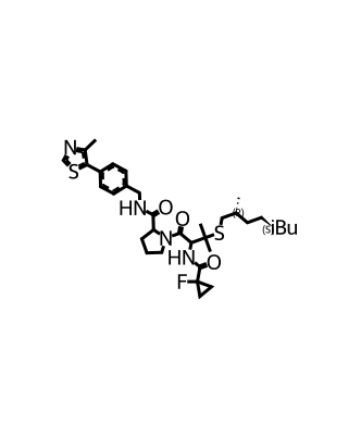 CC[C@H](C)CC[C@@H](C)CSC(C)(C)C(NC(=O)C1(F)CC1)C(=O)N1CCCC1C(=O)NCc1ccc(-c2scnc2C)cc1